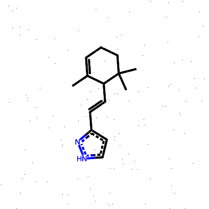 CC1=CCCC(C)(C)C1/C=C/c1cc[nH]n1